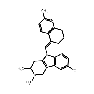 Cc1ccc2c(n1)CCC/C2=C\n1c2c(c3cc(Cl)cnc31)CN(C)C(C)C2